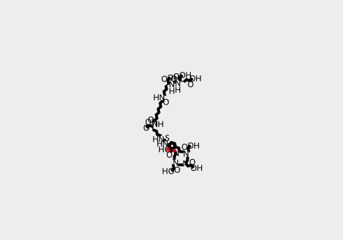 O=C(O)CC[C@H](NC(=O)N[C@@H](CCCCNC(=O)CCCCCCC(=O)N[C@@H](CCCCNC(=S)Nc1ccc(CC2CN(CC(=O)O)CCN(CC(=O)O)CCN(CC(=O)O)CCN2CC(=O)O)cc1)C(=O)O)C(=O)O)C(=O)O